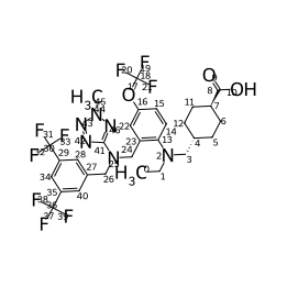 CCN(C[C@H]1CC[C@H](C(=O)O)CC1)c1ccc(OC(F)(F)F)cc1CN(Cc1cc(C(F)(F)F)cc(C(F)(F)F)c1)c1nnn(C)n1